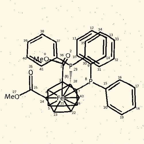 COC(=O)[C]12[CH]3[CH]4[CH]5[C]1(P(c1ccccc1)c1ccccc1)[Fe]43521678[CH]2[CH]1[C]6(C(=O)OC)[C@@]7(P(c1ccccc1)c1ccccc1)[CH]28